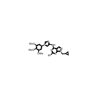 COc1cc(-n2cnc(Nc3nc(C(C)C)nc4c3cnn4CC3CC3)c2)cc(OC)c1OC